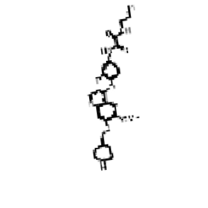 COc1cc2c(Oc3ccc(NC(=O)C(=O)NCCC(C)C)cc3F)ccnc2cc1OCC1CCNCC1